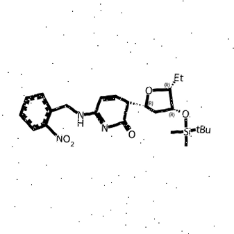 CC[C@H]1O[C@@H](C2C=CC(NCc3ccccc3[N+](=O)[O-])=NC2=O)C[C@H]1O[Si](C)(C)C(C)(C)C